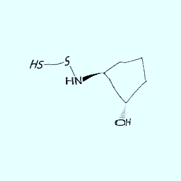 O[C@H]1CCC[C@@H]1NSS